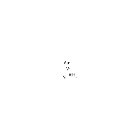 [AlH3].[Au].[Ni].[V]